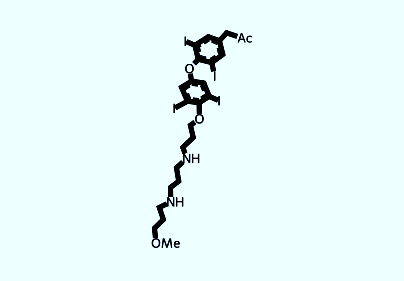 COCCCNCCCNCCCOc1c(I)cc(Oc2c(I)cc(CC(C)=O)cc2I)cc1I